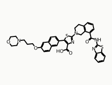 O=C(Nc1nc2ccccc2s1)c1cccc2c1CN(c1nc(C(=O)O)c(-c3ccc4cc(OCCCN5CCOCC5)ccc4c3)s1)CC2